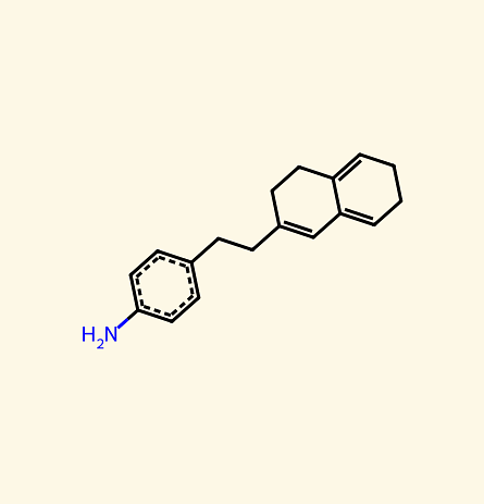 Nc1ccc(CCC2=CC3=CCCC=C3CC2)cc1